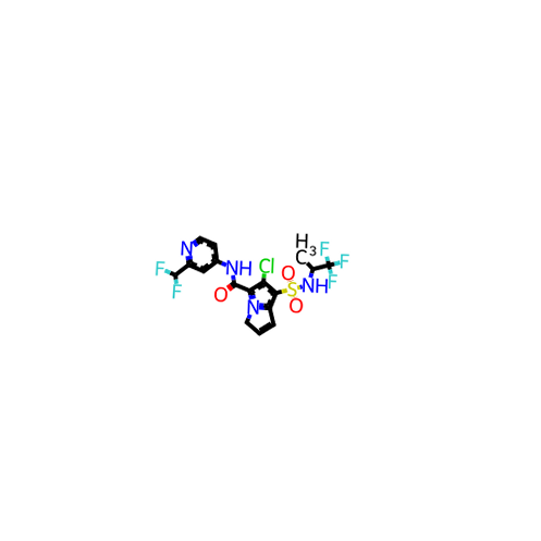 CC(NS(=O)(=O)c1c(Cl)c(C(=O)Nc2ccnc(C(F)F)c2)n2c1C=CC2)C(F)(F)F